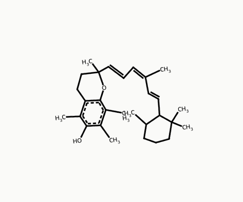 CC(C=CC1C(C)CCCC1(C)C)=CC=CC1(C)CCc2c(C)c(O)c(C)c(C)c2O1